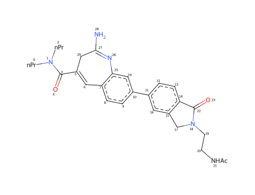 CCCN(CCC)C(=O)C1=Cc2ccc(-c3ccc4c(c3)CN(CCNC(C)=O)C4=O)cc2N=C(N)C1